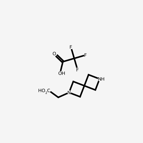 O=C(O)C(F)(F)F.O=C(O)CN1CC2(CNC2)C1